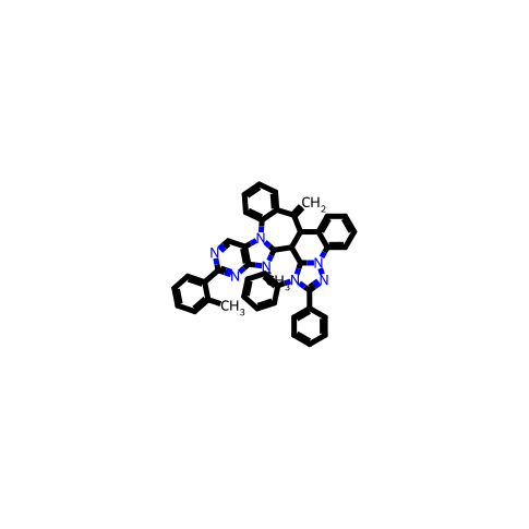 C=C1c2ccccc2N2c3cnc(-c4ccccc4C)nc3N(C)C2C2C1c1ccccc1N1N=C(c3ccccc3)N(c3ccccc3)C21